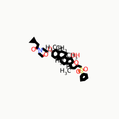 C[C@@H]1CC(CS(=O)(=O)c2ccccc2)OC2[C@H]1C1(C)CCC34CC35CCC(O[C@H]3CN(C(=O)CC6CC6)CCO3)C(C)(C)[C@@H]5CCC4[C@]1(C)[C@H]2O